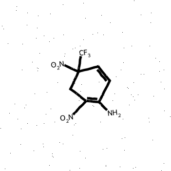 NC1=C([N+](=O)[O-])CC([N+](=O)[O-])(C(F)(F)F)C=C1